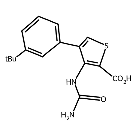 CC(C)(C)c1cccc(-c2csc(C(=O)O)c2NC(N)=O)c1